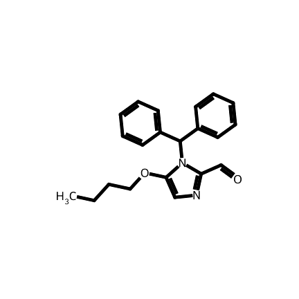 CCCCOc1cnc(C=O)n1C(c1ccccc1)c1ccccc1